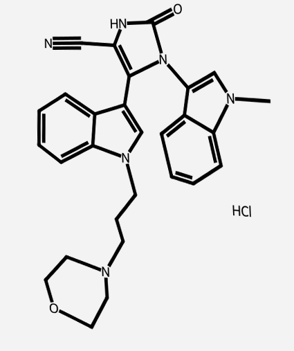 Cl.Cn1cc(-n2c(-c3cn(CCCN4CCOCC4)c4ccccc34)c(C#N)[nH]c2=O)c2ccccc21